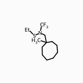 CCSN(CC1(C)CCCCCCC1)C(F)(F)F